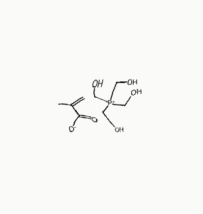 C=C(C)C(=O)[O-].OC[P+](CO)(CO)CO